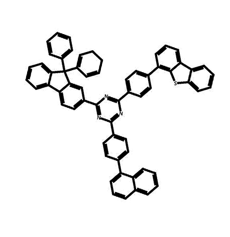 C1=CC(C2(c3ccccc3)c3ccccc3-c3ccc(-c4nc(-c5ccc(-c6cccc7ccccc67)cc5)nc(-c5ccc(-c6cccc7c6sc6ccccc67)cc5)n4)cc32)=CCC1